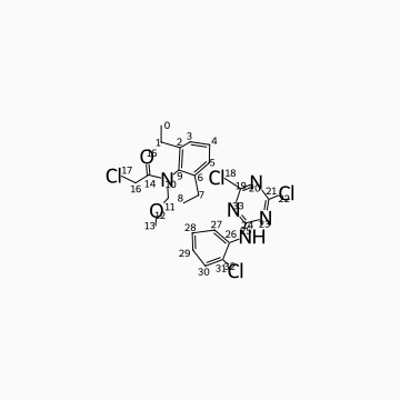 CCc1cccc(CC)c1N(COC)C(=O)CCl.Clc1nc(Cl)nc(Nc2ccccc2Cl)n1